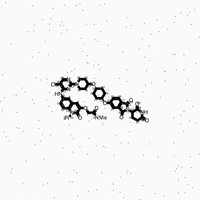 CNC(=O)COc1cc2cc(Nc3nc(N4CCC(O[C@H]5CC[C@H](Oc6ccc7c(c6)C(=O)N(C6CCC(=O)NC6=O)C7=O)CC5)CC4)ncc3Cl)ccc2n(C(C)C)c1=O